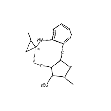 CCCCC1C(C)SC2Cc3ccccc3N[C@@]3(CCC21)CC3C